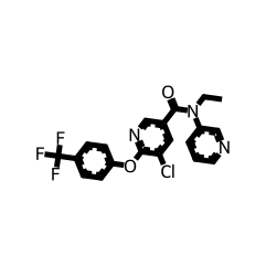 CCN(C(=O)c1cnc(Oc2ccc(C(F)(F)F)cc2)c(Cl)c1)c1cccnc1